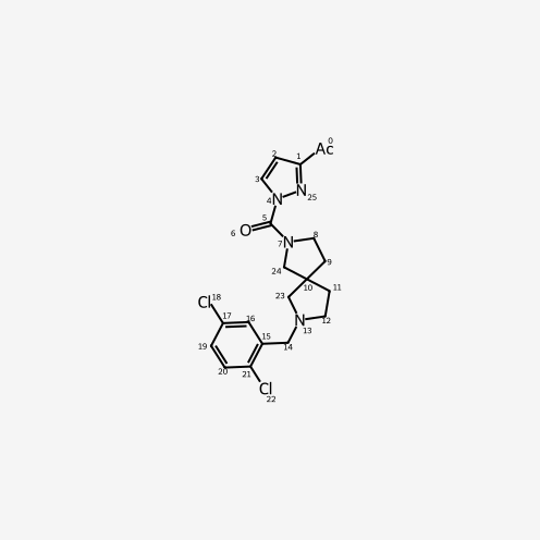 CC(=O)c1ccn(C(=O)N2CCC3(CCN(Cc4cc(Cl)ccc4Cl)C3)C2)n1